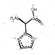 O=S(O)C([AsH2])c1ncco1